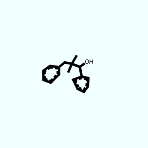 CC(C)(Cc1ccccc1)C(O)c1ccccc1